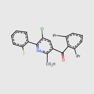 CC(C)c1cccc(C(C)C)c1C(=O)c1cc(Cl)c(-c2ccccc2F)nc1C(=O)O